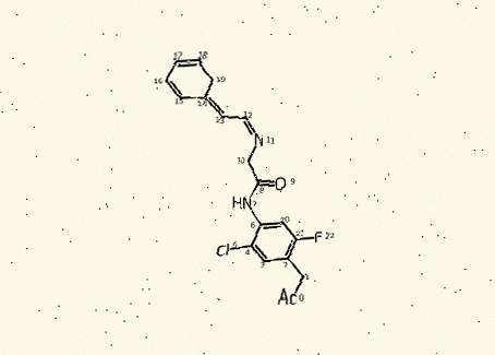 CC(=O)Cc1cc(Cl)c(NC(=O)C/N=C\C=C2\C=CC=CC2)cc1F